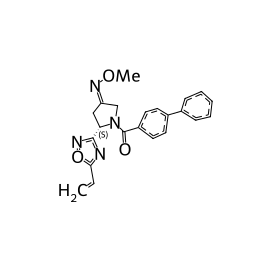 C=Cc1nc([C@@H]2CC(=NOC)CN2C(=O)c2ccc(-c3ccccc3)cc2)no1